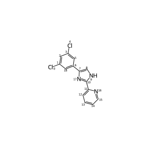 Clc1cc(Cl)cc(-c2c[nH]c(-c3ccccn3)n2)c1